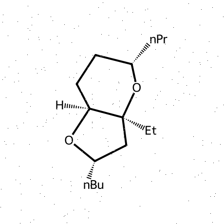 CCCC[C@H]1C[C@]2(CC)O[C@@H](CCC)CC[C@@H]2O1